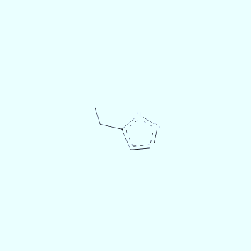 [O]Cc1csnn1